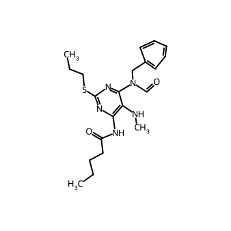 CCCCC(=O)Nc1nc(SCCC)nc(N(C=O)Cc2ccccc2)c1NC